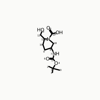 CC(C)(C)OC(=O)NC1CCC(CO)N(C(=O)O)C1